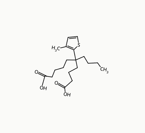 CCCCC(CCCCC(=O)O)(CCCC(=O)O)c1sccc1C